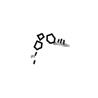 C1CCC1.C1CCCC1.C1CCCCC1.CC.CC(C)C.CCC(C)C.CCCC.CCCCC